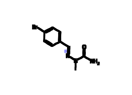 CN(/N=C/c1ccc(Br)cc1)C(N)=O